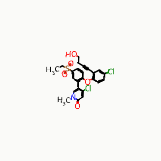 CCS(=O)(=O)c1ccc(Oc2ccc(Cl)cc2C#CCCO)c(-c2cn(C)c(=O)cc2Cl)c1